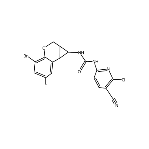 N#Cc1ccc(NC(=O)NC2C3COc4c(Br)cc(F)cc4C32)nc1Cl